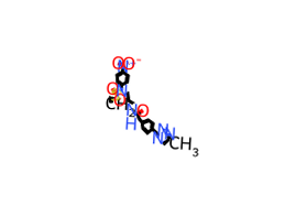 C=CS(=O)(=O)N(CCCNC(=O)Cc1ccc(-c2ncc(C)nn2)cc1)c1ccc([N+](=O)[O-])cc1